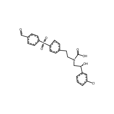 O=Cc1ccc(S(=O)(=O)c2ccc(CCN(C[C@@H](O)c3cccc(Cl)c3)C(=O)O)cc2)cc1